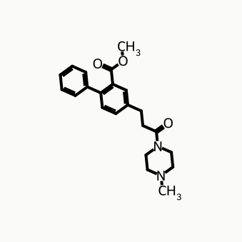 COC(=O)c1cc(CCC(=O)N2CCN(C)CC2)ccc1-c1ccccc1